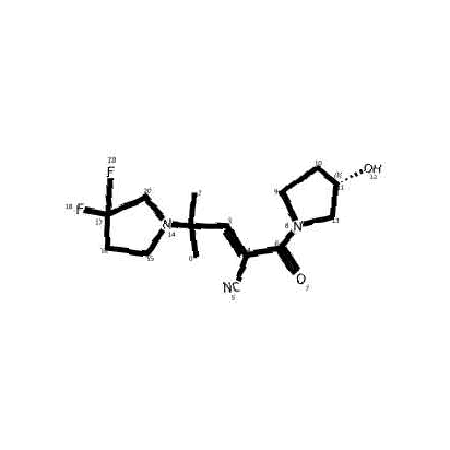 CC(C)(C=C(C#N)C(=O)N1CC[C@H](O)C1)N1CCC(F)(F)C1